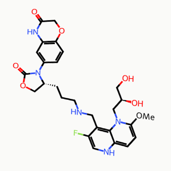 COC1=CC=C2NC=C(F)C(CNCCC[C@@H]3COC(=O)N3c3ccc4c(c3)NC(=O)CO4)=C2N1C[C@H](O)CO